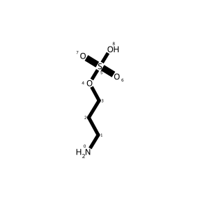 NCCCOS(=O)(=O)O